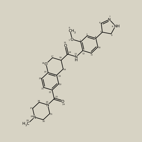 COc1cc(C2C=NNC2)ccc1NC(=O)C1COc2ccc(C(=O)N3CCN(C)CC3)cc2C1